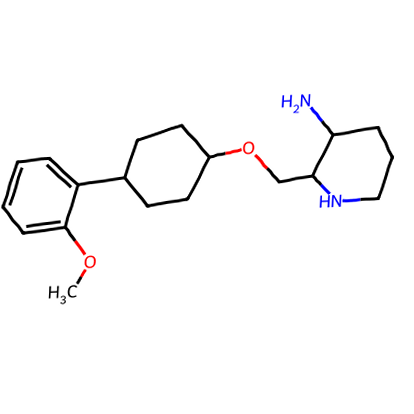 COc1ccccc1C1CCC(OCC2NCCCC2N)CC1